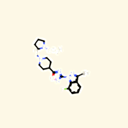 CC(C)c1nn(-c2noc(C3CCN(C[C@@H]4CCCN4C(=O)O)CC3)n2)c2c(F)cccc12